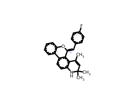 CC1=CC(C)(C)Nc2ccc3c(c21)/C(=C/c1ccc(F)cc1)Oc1ccccc1-3